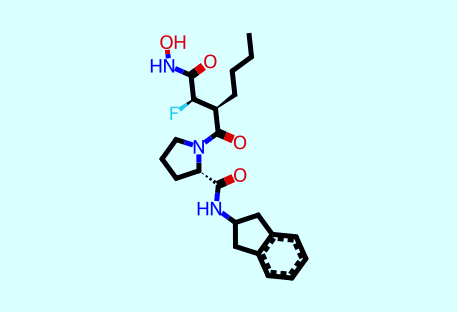 CCCC[C@@H](C(=O)N1CCC[C@H]1C(=O)NC1Cc2ccccc2C1)[C@@H](F)C(=O)NO